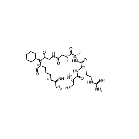 C[C@H](NC(=O)[C@H](CCCNC(=N)N)NC(=O)[C@@H](N)CS)C(=O)NCC(=O)NCC(=O)N(C1CCCCC1)[C@H]([C]=O)CCCNC(=N)N